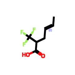 C/C=C/CC(C(=O)O)C(F)(F)F